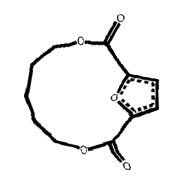 O=C1OCCCCCOC(=O)c2ccc1o2